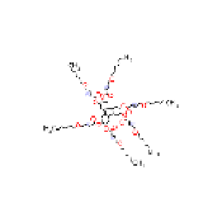 CCCCCCOC/C=C/C(=O)Oc1cc2c3cc(OC(=O)/C=C/COCCCCCC)c(OC(=O)/C=C/COCCCCCC)cc3c3cc(OC(=O)/C=C/COCCCCCC)c(OC(=O)/C=C/COCCCCCC)cc3c2cc1OC(=O)/C=C/COCCCCCC